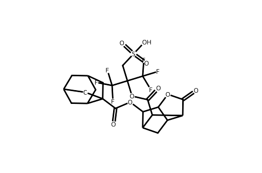 O=C1OC2C3CC(C2OC(=O)C24CC5CC(CC2C5)C4)C(C(=O)OC(CS(=O)(=O)O)(C(F)(F)F)C(F)(F)F)C13